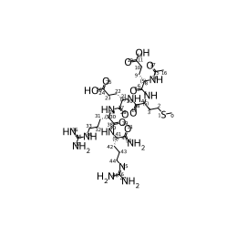 CSCC[C@H](NC(=O)[C@H](CCC(=O)O)NC(C)=O)C(=O)N[C@@H](CCC(=O)O)C(=O)N[C@@H](CCCNC(=N)N)C(=O)N[C@@H](CCCN=C(N)N)C(N)=O